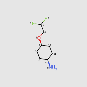 N[C@H]1CC[C@@H](OCC(F)F)CC1